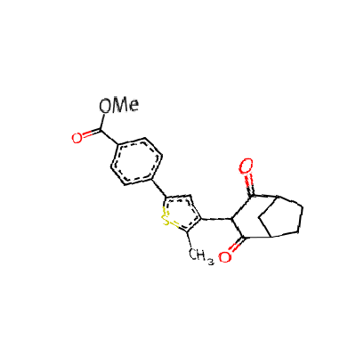 COC(=O)c1ccc(-c2cc(C3C(=O)C4CCC(C4)C3=O)c(C)s2)cc1